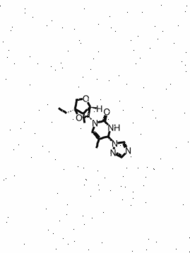 CC[C@]12CO[C@@H](C1C)[C@H](N1C=C(C)C(n3cncn3)NC1=O)O2